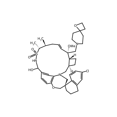 CO[C@@]1(CN2CCC3(CCO3)CC2)/C=C/C[C@H](C)[C@@H](C)S(=O)(=O)NC(O)c2ccc3c(c2)N(C[C@@H]2CC[C@H]21)C[C@@]1(CCCc2cc(Cl)ccc21)CO3